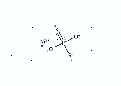 [Ni+3].[O-]P([O-])(=S)[S-]